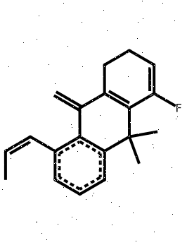 C=C1C2=C(C(F)=CCC2)C(C)(C)c2cccc(/C=C\C)c21